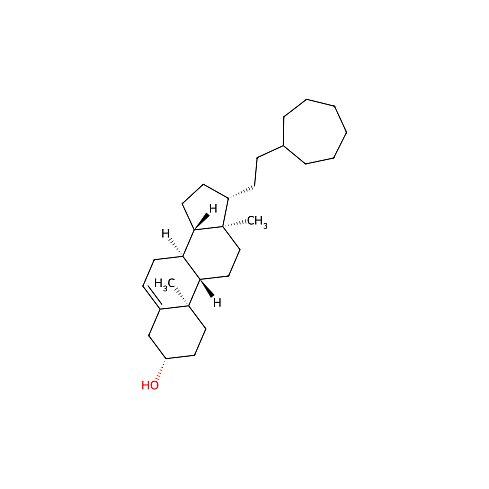 C[C@]12CC[C@H]3[C@@H](CC=C4C[C@@H](O)CC[C@@]43C)[C@@H]1CC[C@@H]2CCC1CCCCCC1